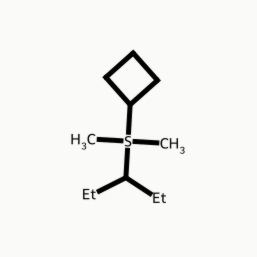 CCC(CC)S(C)(C)C1CCC1